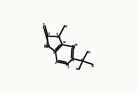 Cn1c(=O)[nH]c2cnc(C(C)(C)C)nc21